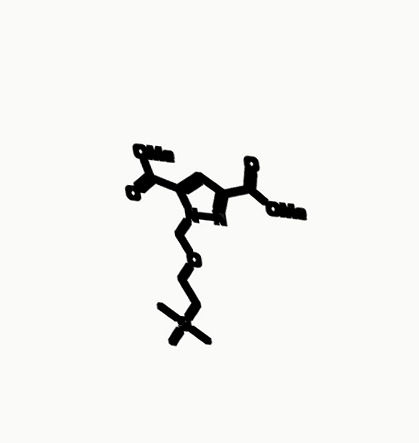 COC(=O)c1cc(C(=O)OC)n(COCC[Si](C)(C)C)n1